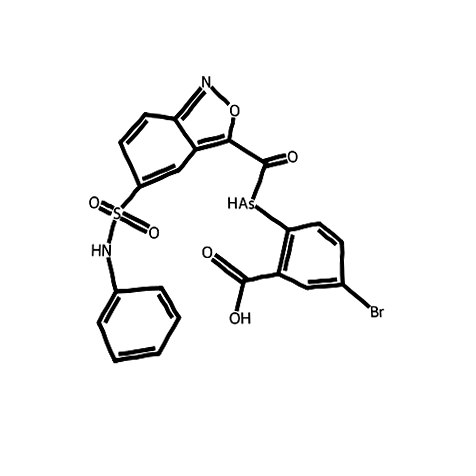 O=C(O)c1cc(Br)ccc1[AsH]C(=O)c1onc2ccc(S(=O)(=O)Nc3ccccc3)cc12